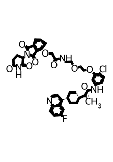 C[C@@H](C(=O)Nc1ccc(Cl)c(OCCOCCNC(=O)COc2cccc3c2C(=O)N(C2CCC(=O)NC2=O)C3=O)c1)[C@H]1CC[C@@H](c2ccnc3ccc(F)cc32)CC1